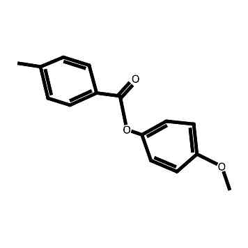 COc1ccc(OC(=O)c2ccc(C)cc2)cc1